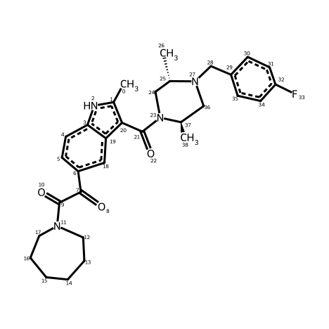 Cc1[nH]c2ccc(C(=O)C(=O)N3CCCCCC3)cc2c1C(=O)N1C[C@H](C)N(Cc2ccc(F)cc2)C[C@H]1C